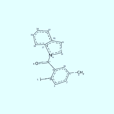 Cc1ccc(I)c(C(=O)n2ccc3ccccc32)c1